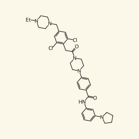 CCN1CCN(Cc2cc(Cl)c(CC(=O)N3CCN(c4ccc(C(=O)Nc5cccc(N6CCCC6)c5)cc4)CC3)c(Cl)c2)CC1